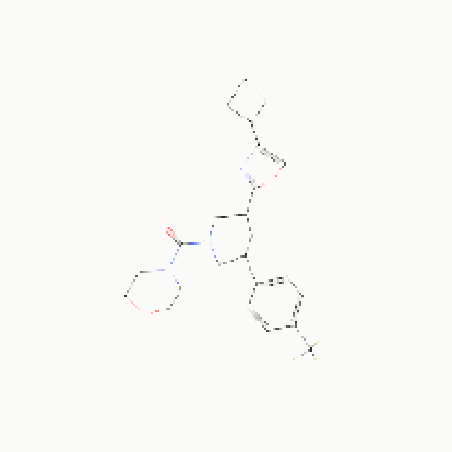 O=C(N1CCOCC1)N1CC(c2ccc(C(F)(F)F)cc2)CC(c2nc(C3CCC3)co2)C1